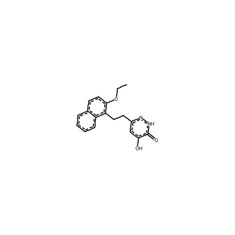 CCOc1ccc2ccccc2c1CCc1cc(O)c(=O)[nH]n1